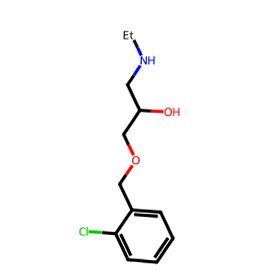 CCNCC(O)COCc1ccccc1Cl